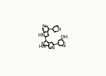 Oc1cncc(-c2cc3c(-c4cc5c(-c6ccncc6)cncc5[nH]4)n[nH]c3cn2)c1